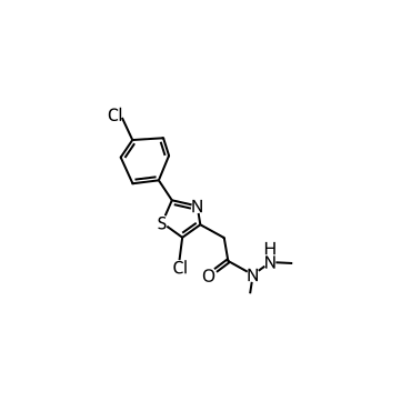 CNN(C)C(=O)Cc1nc(-c2ccc(Cl)cc2)sc1Cl